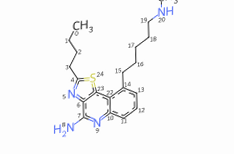 CCCCc1nc2c(N)nc3cccc(CCCCCNC)c3c2s1